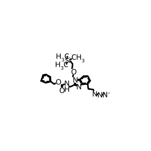 C[Si](C)(C)CCOCn1c(CNC(=O)OCc2ccccc2)nc2c(CCN=[N+]=[N-])cccc21